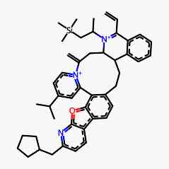 C=CC1=[N+](C(C)C[Si](C)(C)C)C2CC(=C)[n+]3ccc(C(C)C)cc3-c3c(ccc4c3oc3nc(CC5CCCC5)ccc34)CCC2c2ccccc21